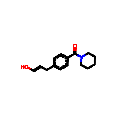 O=C(c1ccc(CC=CO)cc1)N1CCCCC1